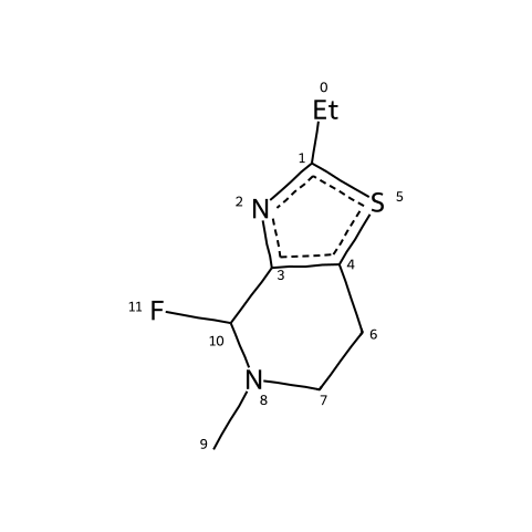 CCc1nc2c(s1)CCN(C)C2F